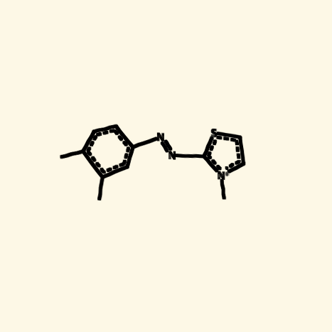 Cc1ccc(N=Nc2scc[n+]2C)cc1C